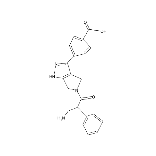 NCC(C(=O)N1Cc2[nH]nc(-c3ccc(C(=O)O)cc3)c2C1)c1ccccc1